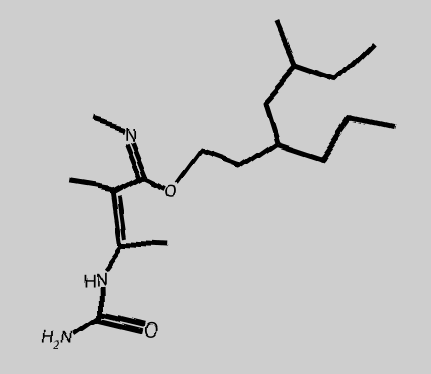 CCCC(CCOC(=N/C)/C(C)=C(\C)NC(N)=O)CC(C)CC